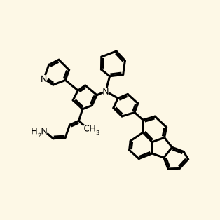 C/C(=C\C=C/N)c1cc(-c2cccnc2)cc(N(c2ccccc2)c2ccc(-c3ccc4c5c(cccc35)-c3ccccc3-4)cc2)c1